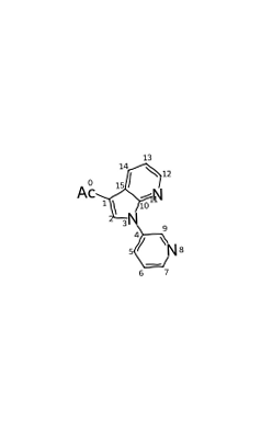 CC(=O)c1cn(-c2cccnc2)c2ncccc12